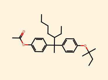 CCCCC(CC)C(C)(c1ccc(OC(C)=O)cc1)c1ccc(OC(C)(C)CC)cc1